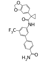 NC(=O)c1ccc(-c2cc(NC(=O)C3(c4ccc5c(c4)OCO5)CC3)cc(C(F)(F)F)c2)cc1